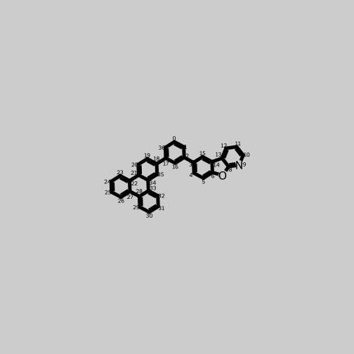 c1cc(-c2ccc3oc4ncccc4c3c2)cc(-c2ccc3c4ccccc4c4ccccc4c3c2)c1